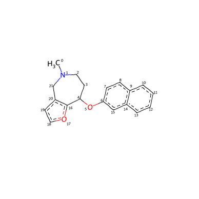 CN1CCC(Oc2ccc3ccccc3c2)c2occc2C1